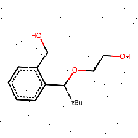 CC(C)(C)C(OCCO)c1ccccc1CO